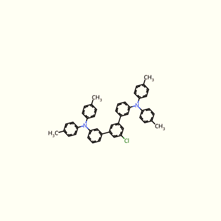 Cc1ccc(N(c2ccc(C)cc2)c2cccc(-c3cc(Cl)cc(-c4cccc(N(c5ccc(C)cc5)c5ccc(C)cc5)c4)c3)c2)cc1